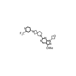 COc1nn(C2COC2)c2nc(N3CCC4(CN(c5ccnc(C(F)(F)F)c5)C4)C3)ncc12